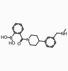 CNCc1cccc(C2CCN(C(=O)c3ccccc3B(O)O)CC2)c1